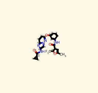 CC1=CC(C(=O)Nc2cccc(Oc3ccc4nc(NC(=O)C5CC5)cn4n3)c2)C(C(F)(F)F)O1